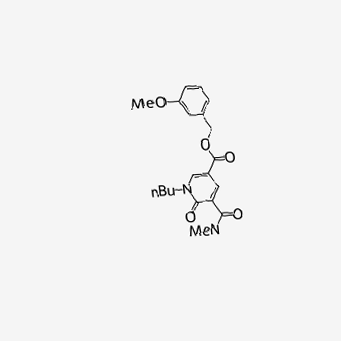 CCCCn1cc(C(=O)OCc2cccc(OC)c2)cc(C(=O)NC)c1=O